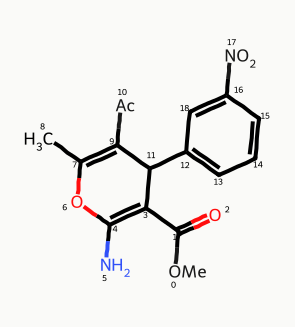 COC(=O)C1=C(N)OC(C)=C(C(C)=O)C1c1cccc([N+](=O)[O-])c1